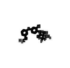 COc1cccc(Sc2ccc(NC(=O)[C@@](C)(O)C(F)(F)F)c(Cl)c2)c1